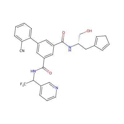 N#Cc1ccccc1-c1cc(C(=O)NC(c2cccnc2)C(F)(F)F)cc(C(=O)N[C@H](CO)CC2=CCC=C2)c1